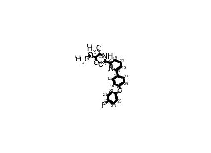 COC(=O)[C@H](C)NC(=O)c1cccc(-c2ccc(Oc3ccc(F)cc3)cc2)n1